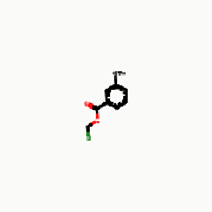 COc1cccc(C(=O)OCCl)c1